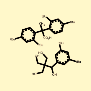 CC(C)(C)c1cc(C(O)C(CO)(CO)CO)cc(C(C)(C)C)c1.CC(C)(C)c1ccc(C(C)(C(=O)O)c2ccc(C(C)(C)C)cc2C(C)(C)C)c(C(C)(C)C)c1